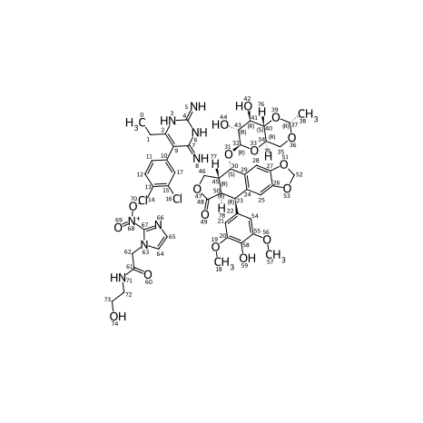 CCc1[nH]c(=N)[nH]c(=N)c1-c1ccc(Cl)c(Cl)c1.COc1cc([C@@H]2c3cc4c(cc3[C@@H](O[C@@H]3O[C@@H]5CO[C@@H](C)O[C@H]5[C@H](O)[C@H]3O)[C@H]3COC(=O)[C@H]23)OCO4)cc(OC)c1O.O=C(Cn1ccnc1[N+](=O)[O-])NCCO